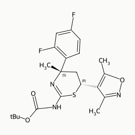 Cc1noc(C)c1[C@H]1C[C@@](C)(c2ccc(F)cc2F)N=C(NC(=O)OC(C)(C)C)S1